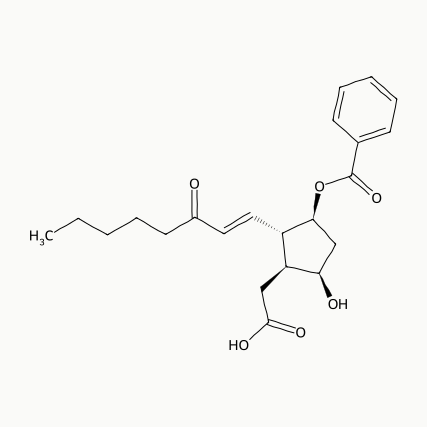 CCCCCC(=O)C=C[C@H]1[C@H](CC(=O)O)[C@H](O)C[C@@H]1OC(=O)c1ccccc1